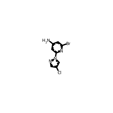 Nc1cc(Br)nc(-n2cc(Cl)cn2)c1